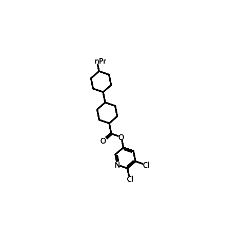 CCCC1CCC(C2CCC(C(=O)Oc3cnc(Cl)c(Cl)c3)CC2)CC1